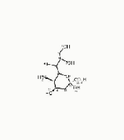 N[C@H]1C(C(I)C(O)CO)O[C@](O)(C(=O)O)C[C@H]1O